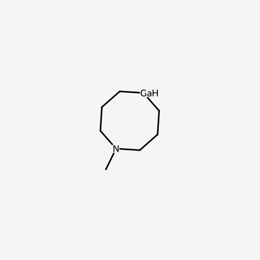 CN1CC[CH2][GaH][CH2]CC1